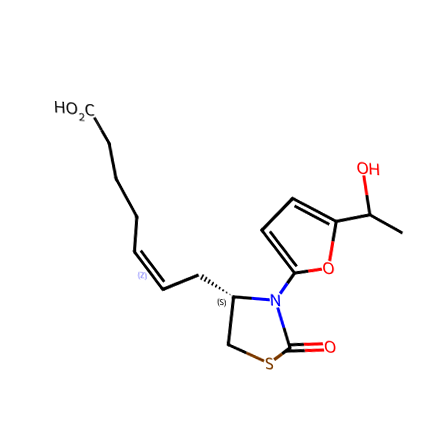 CC(O)c1ccc(N2C(=O)SC[C@@H]2C/C=C\CCCC(=O)O)o1